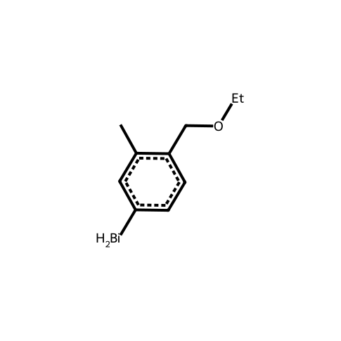 CCOCc1cc[c]([BiH2])cc1C